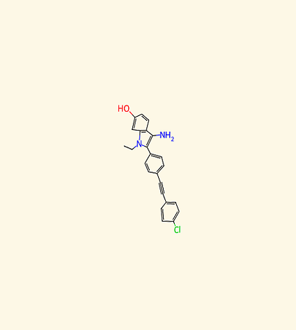 CCn1c(-c2ccc(C#Cc3ccc(Cl)cc3)cc2)c(N)c2ccc(O)cc21